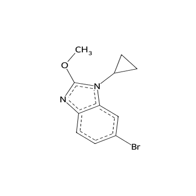 COc1nc2ccc(Br)cc2n1C1CC1